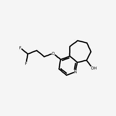 OC1CCCCc2c(OCCC(F)F)ccnc21